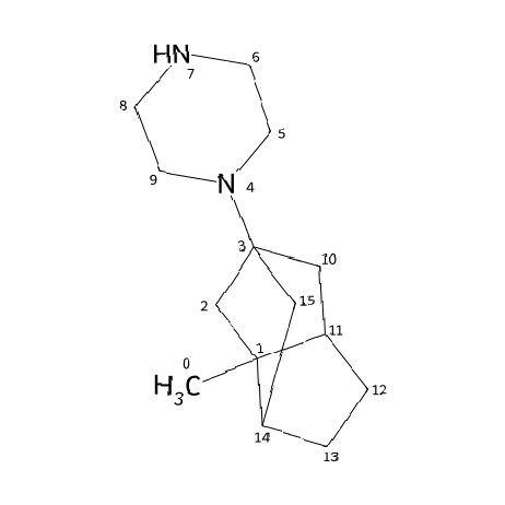 CC12CC3(N4CCNCC4)CC1CCC2C3